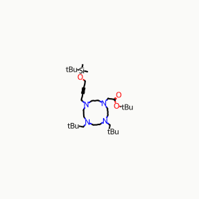 CC(C)(C)CN1CCN(CC#CCO[Si](C)(C)C(C)(C)C)CCN(CC(=O)OC(C)(C)C)CCN(CC(C)(C)C)CC1